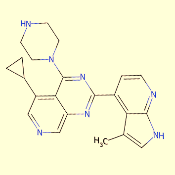 Cc1c[nH]c2nccc(-c3nc(N4CCNCC4)c4c(C5CC5)cncc4n3)c12